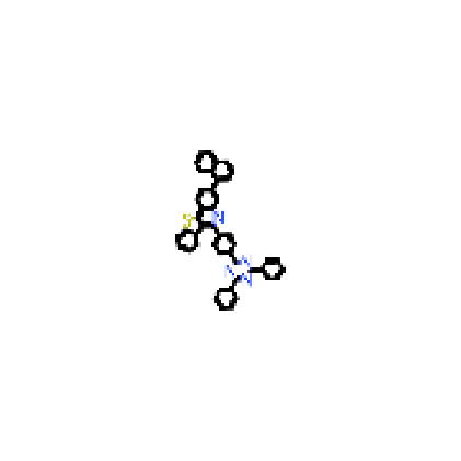 c1ccc(-c2nc(-c3ccccc3)nc(-c3ccc(-c4nc5cc(-c6cccc7ccccc67)ccc5c5sc6ccccc6c45)cc3)n2)cc1